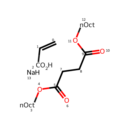 C=CC(=O)O.CCCCCCCCOC(=O)CCC(=O)OCCCCCCCC.[NaH]